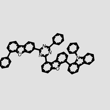 c1ccc(-c2nc(-c3ccc4c(c3)oc3c(-c5ccccc5)cccc34)nc(-c3cccc4oc5c(-c6cccc7c8ccccc8n(-c8ccccc8)c67)cccc5c34)n2)cc1